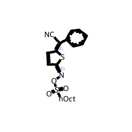 CCCCCCCCS(=O)(=O)O/N=C1C=C/C(=C(\C#N)c2ccccc2)S\1